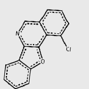 Clc1cccc2cnc3c4ccccc4oc3c12